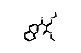 CCO/C=C(/C(=O)OCC)C(=O)c1ccc2ccccc2c1